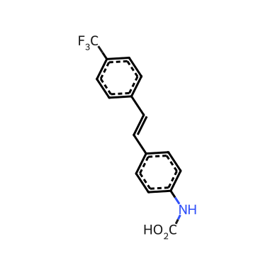 O=C(O)Nc1ccc(/C=C/c2ccc(C(F)(F)F)cc2)cc1